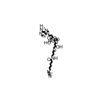 [N-]=[N+]=NCCCCCC(=O)NCCCOCC(O)COP(=O)(O)OC1C[C@H](n2cnc3c(N)ncnc32)O[C@@H]1CO